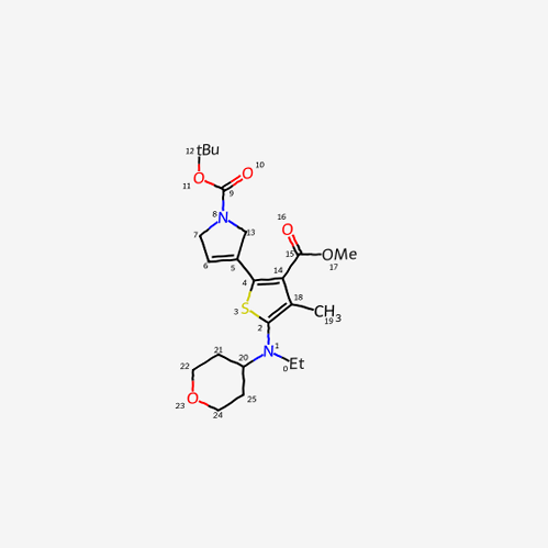 CCN(c1sc(C2=CCN(C(=O)OC(C)(C)C)C2)c(C(=O)OC)c1C)C1CCOCC1